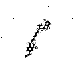 CC(C)C(OC(=O)CCCCCNC(=O)c1ccc(N=[N+]=[N-])cc1[N+](=O)[O-])OC(=O)ON1C(=O)CCC1=O